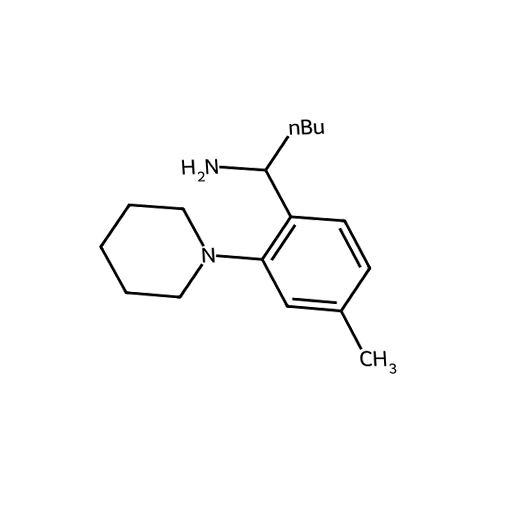 CCCCC(N)c1ccc(C)cc1N1CCCCC1